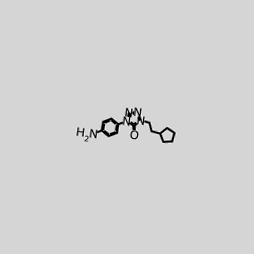 Nc1ccc(-n2nnn(CCC3CCCC3)c2=O)cc1